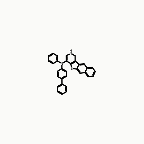 C1=C(N(c2ccccc2)c2ccc(-c3ccccc3)cc2)c2sc3cc4ccccc4cc3c2CN1